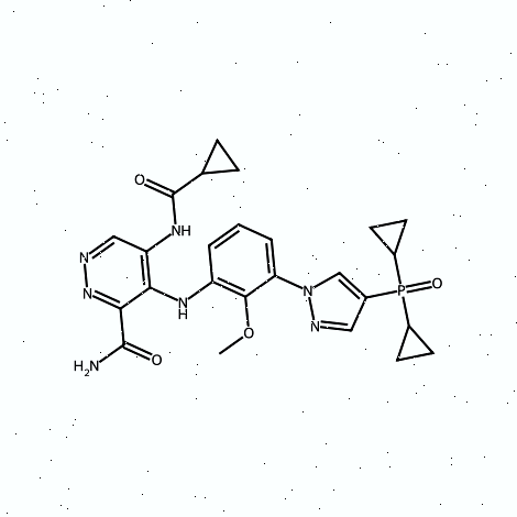 COc1c(Nc2c(NC(=O)C3CC3)cnnc2C(N)=O)cccc1-n1cc(P(=O)(C2CC2)C2CC2)cn1